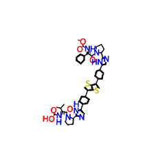 COC(=O)N[C@@H](C(=O)N1CCCC1c1ncc(-c2ccc(-c3csc4c(-c5ccc(-c6cnc(C7CCCN7C(=O)[C@@H](NC(=O)O)C(C)C)[nH]6)cc5)csc34)cc2)[nH]1)c1ccccc1